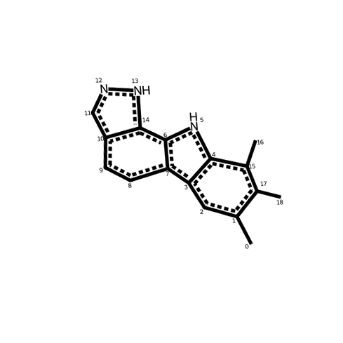 Cc1cc2c([nH]c3c2ccc2cn[nH]c23)c(C)c1C